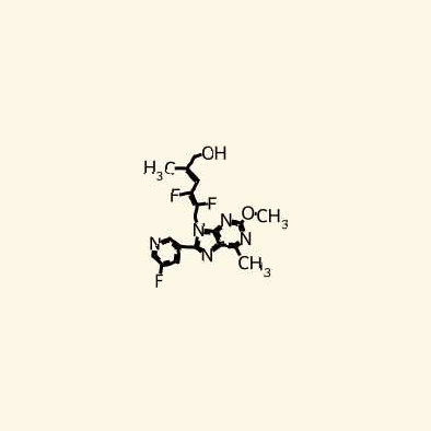 COc1nc(C)c2nc(-c3cncc(F)c3)n(C/C(F)=C(F)/C=C(\C)CO)c2n1